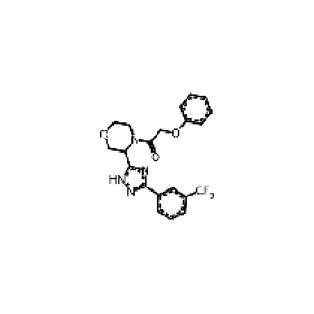 O=C(COc1ccccc1)N1CCOCC1c1nc(-c2cccc(C(F)(F)F)c2)n[nH]1